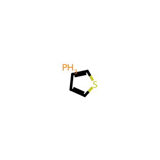 P.c1ccsc1